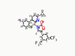 C[C@H]1[C@@H](c2cc(C(F)(F)F)cc(C(F)(F)F)c2)OC(=O)N1Cc1nc(C2CC2)ccc1-c1cc(I)ccc1F